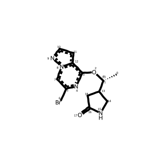 C[C@@H](Oc1nc(Br)cn2nccc12)C1CNC(=O)C1